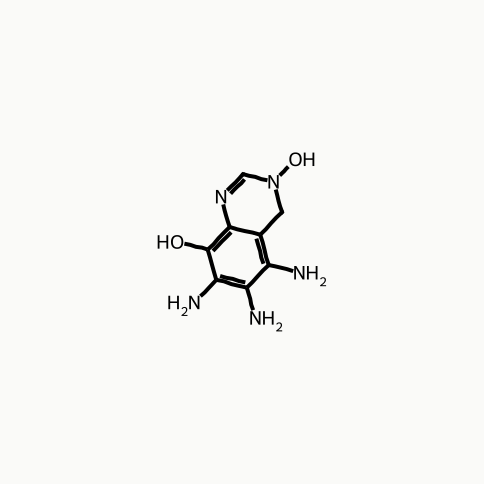 Nc1c(N)c(O)c2c(c1N)CN(O)C=N2